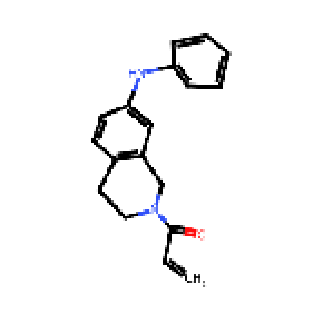 C=CC(=O)N1CCc2ccc(Nc3ccccc3)cc2C1